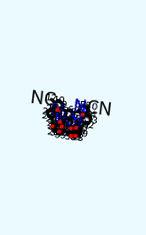 N#Cc1ccc(-c2cc(-c3ccc(C#N)cn3)c(-n3c4ccccc4c4ccccc43)c(-n3c4ccccc4c4ccccc43)c2-n2c3ccccc3c3ccccc32)nc1